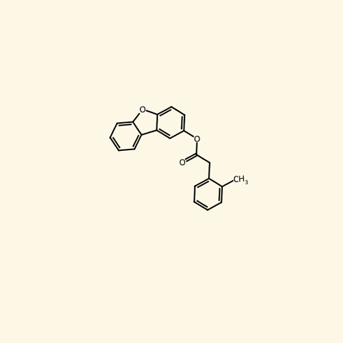 Cc1ccccc1CC(=O)Oc1ccc2oc3ccccc3c2c1